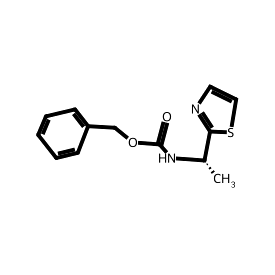 C[C@H](NC(=O)OCc1ccccc1)c1nccs1